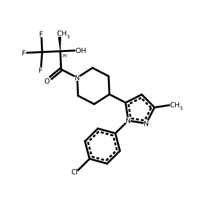 Cc1cc(C2CCN(C(=O)[C@@](C)(O)C(F)(F)F)CC2)n(-c2ccc(Cl)cc2)n1